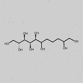 OCC(O)CCCC(O)[C@H](O)[C@@H](O)[C@H](O)[C@H](O)CO